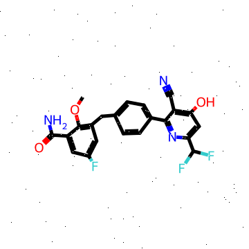 COc1c(Cc2ccc(-c3nc(C(F)F)cc(O)c3C#N)cc2)cc(F)cc1C(N)=O